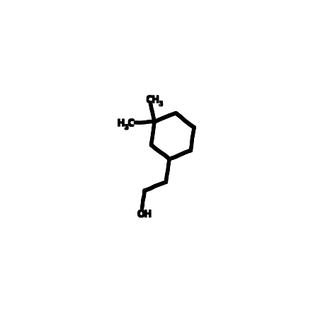 CC1(C)CCCC(CCO)C1